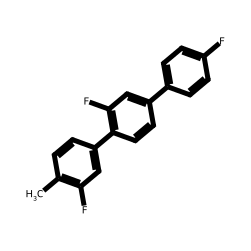 Cc1ccc(-c2ccc(-c3ccc(F)cc3)cc2F)cc1F